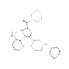 O=C(c1nn(C2CCCN(Cc3ccncc3)C2)c2c1CS(=O)(=O)c1ccccc1-2)N1CCOCC1